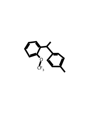 C[C](c1ccc(C)cc1)c1ccccc1OC(F)(F)F